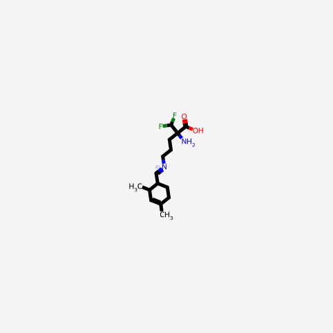 CC1=CC(C)C(/C=N/CCCC(N)(C(=O)O)C(F)F)CC1